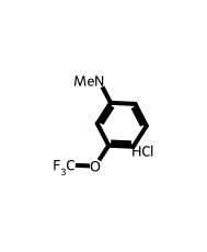 CNc1cccc(OC(F)(F)F)c1.Cl